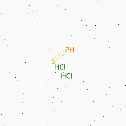 Cl.Cl.P=S